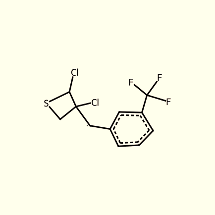 FC(F)(F)c1cccc([CH]C2(Cl)CSC2Cl)c1